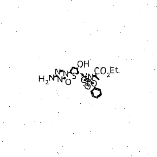 CCOC(=O)[C@H](C)NP(=O)(OC[C@H]1S[C@@H](n2cnc(N)nc2=O)CC1O)Oc1ccccc1